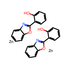 Oc1ccccc1-c1nc2ccccc2o1.Oc1ccccc1-c1nc2ccccc2o1.[Zn].[Zn]